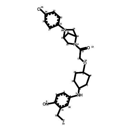 O=Nc1ccc(NC2CCC(OCC(=O)N3CC4CC3CN4c3ccc(Cl)cc3)CC2)cc1CF